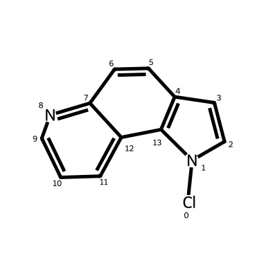 Cln1ccc2ccc3ncccc3c21